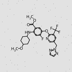 COC(=O)c1cc(Oc2ncc(Cn3nccn3)cc2C(F)(F)F)c(F)cc1NC1CCC(OC)CC1